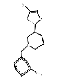 Cc1cccc(CN2CCC[C@H]([C@@H]3CC(Br)=NO3)C2)c1